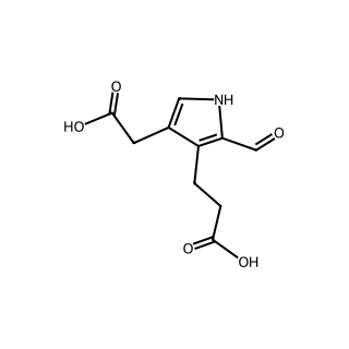 O=Cc1[nH]cc(CC(=O)O)c1CCC(=O)O